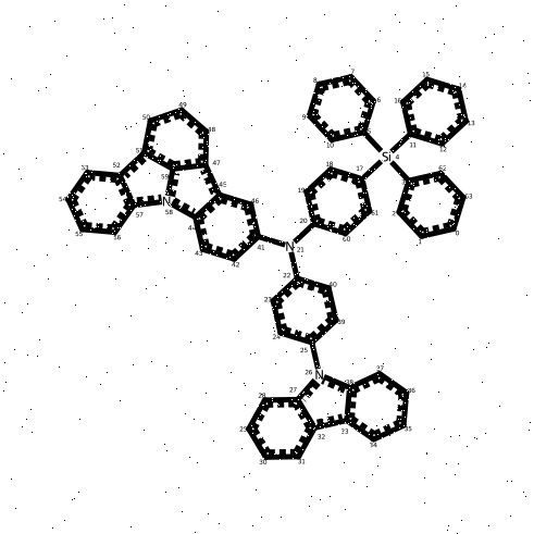 c1ccc([Si](c2ccccc2)(c2ccccc2)c2ccc(N(c3ccc(-n4c5ccccc5c5ccccc54)cc3)c3ccc4c(c3)c3cccc5c6ccccc6n4c53)cc2)cc1